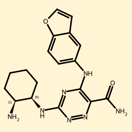 NC(=O)c1nnc(N[C@@H]2CCCC[C@@H]2N)nc1Nc1ccc2occc2c1